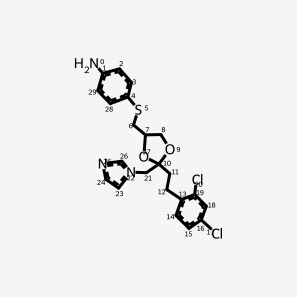 Nc1ccc(SCC2COC(CCc3ccc(Cl)cc3Cl)(Cn3ccnc3)O2)cc1